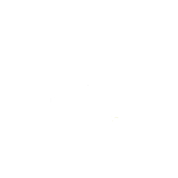 CC(C)C(c1ccccc1)C(C)S